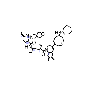 C=C/C=C1/C=C(C2CCCCCC(BC3CCCCCCC3)CCC2)CCN(C(=O)/C(C=C)=C/C=C(\C=C)NC(=O)C(=C/C)/C(=N\C=C/C)N2CC3(CCOCC3)C2)/C1=C/C=C